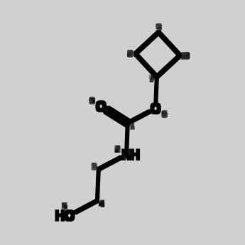 O=C(NCCO)OC1CCC1